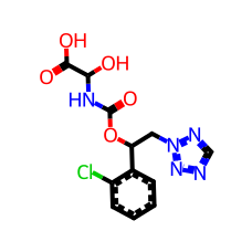 O=C(NC(O)C(=O)O)OC(Cn1ncnn1)c1ccccc1Cl